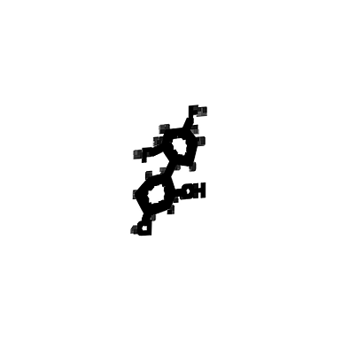 Oc1cc(Cl)ccc1-c1ccc(F)cc1F